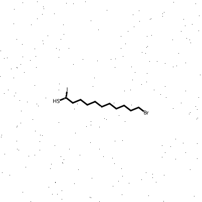 SC(I)CCCCCCCCCCBr